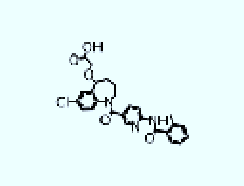 Cc1ccccc1C(=O)Nc1ccc(C(=O)N2CCCC(OCC(=O)O)c3cc(Cl)ccc32)cn1